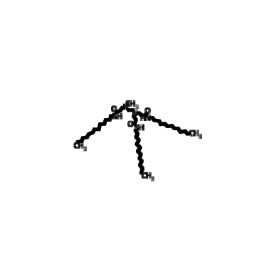 CCCCCCCCCCCCCCNC(=O)CCN(C)CCN(CCC(=O)NCCCCCCCCCCCCC)CCC(=O)NCCCCCCCCCCCCCC